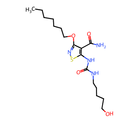 CCCCCCCOc1nsc(NC(=O)NCCCCCO)c1C(N)=O